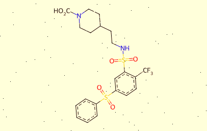 O=C(O)N1CCC(CCNS(=O)(=O)c2cc(S(=O)(=O)c3ccccc3)ccc2C(F)(F)F)CC1